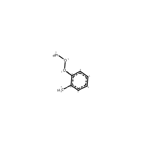 CCCOOc1ccccc1C